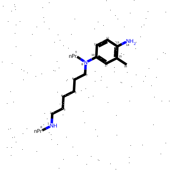 CCCNCCCCCCN(CCC)c1ccc(N)c(C)c1